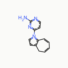 Nc1nccc(-n2ccc3c2C=CC=CC3)n1